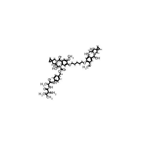 COc1cc2c(cc1OCCCCCOc1cc3c(cc1OC)C(=O)N1CC4(CC4)C[C@H]1C(O)N3C(=O)OCc1ccc(NC(=O)[C@H](C)NC(=O)[C@@H](N)C(C)C)cc1)NC[C@@H]1CC3(CC3)CN1C2O